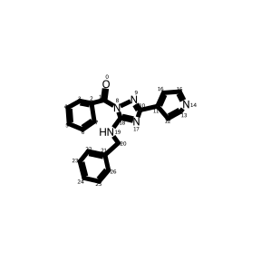 O=C(c1ccccc1)n1nc(-c2ccncc2)nc1NCc1ccccc1